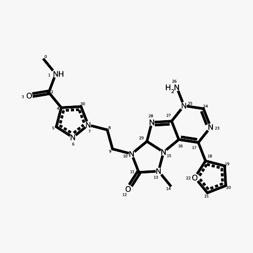 CNC(=O)c1cnn(CCN2C(=O)N(C)N3C4=C(c5ccco5)N=CN(N)C4=NC23)c1